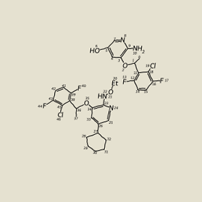 CC(Oc1cc(O)cnc1N)c1c(F)ccc(F)c1Cl.CCONc1ncc(C2CCCCC2)cc1OC(C)c1c(F)ccc(F)c1Cl